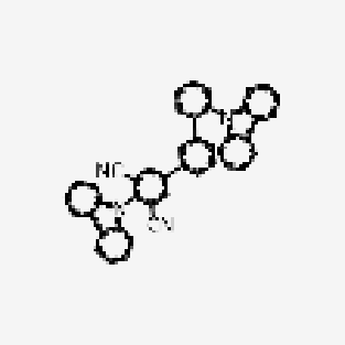 N#Cc1cc(-c2cccc(-c3ccccc3-n3c4ccccc4c4ccccc43)c2)cc(C#N)c1-n1c2ccccc2c2ccccc21